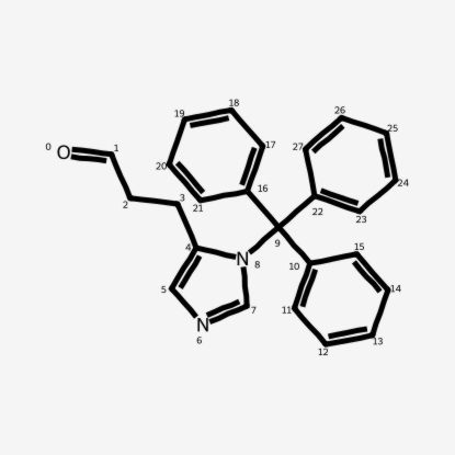 O=CCCc1cncn1C(c1ccccc1)(c1ccccc1)c1ccccc1